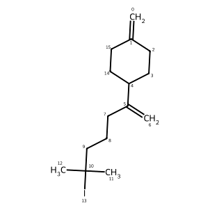 C=C1CCC(C(=C)CCCC(C)(C)I)CC1